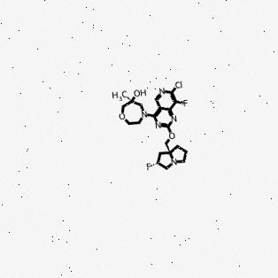 C[C@@]1(O)COCCN(c2nc(OC[C@@]34CCCN3C[C@H](F)C4)nc3c(F)c(Cl)ncc23)C1